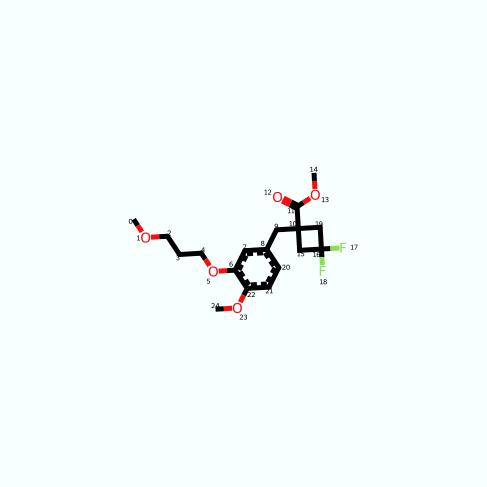 COCCCOc1cc(CC2(C(=O)OC)CC(F)(F)C2)ccc1OC